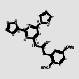 COc1ccc(OC)c(CC(=O)Nc2cc(-n3cccn3)nc(-c3ccco3)n2)c1